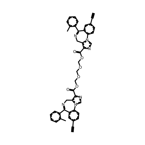 C#Cc1ccc2c(c1)C(c1ccccc1C)=NCc1c(C(=O)OCOCOCOC(=O)c3ncn4c3CN=C(c3ccccc3C)c3cc(C#C)ccc3-4)ncn1-2